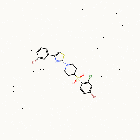 O=S(=O)(c1ccc(Br)cc1Cl)C1CCN(c2nc(-c3cccc(Br)c3)cs2)CC1